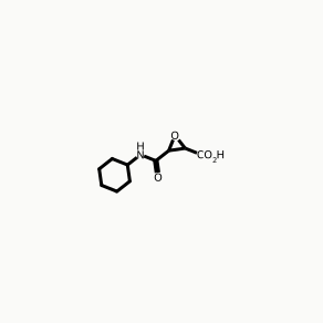 O=C(O)C1OC1C(=O)NC1CCCCC1